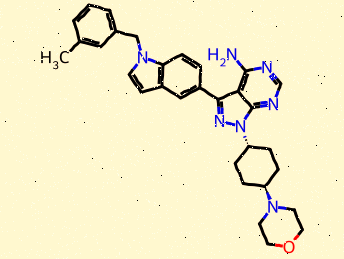 Cc1cccc(Cn2ccc3cc(-c4nn([C@H]5CC[C@H](N6CCOCC6)CC5)c5ncnc(N)c45)ccc32)c1